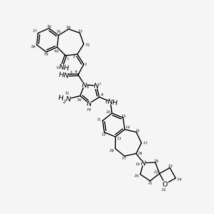 N=C1/C(=C\C(=N)n2nc(Nc3ccc4c(c3)CCC(N3CCC5(CCO5)C3)CC4)nc2N)CCCc2ccccc21